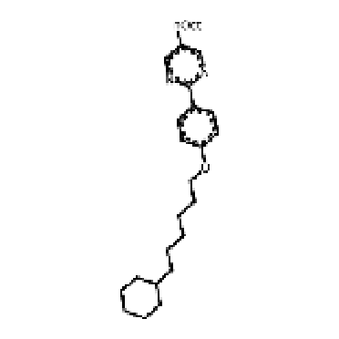 CCCCCCCCc1cnc(-c2ccc(OCCCCCCC3CCCCC3)cc2)nc1